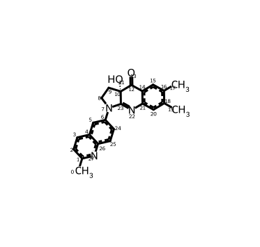 Cc1ccc2cc(N3CC[C@@]4(O)C(=O)c5cc(C)c(C)cc5N=C34)ccc2n1